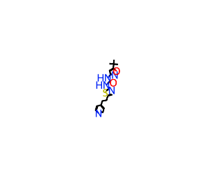 CC(C)(C)c1cc(NC(=O)Nc2ncc(CCc3ccncc3)s2)no1